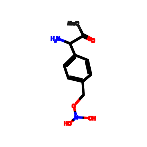 COC(=O)C(N)c1ccc(CON(O)O)cc1